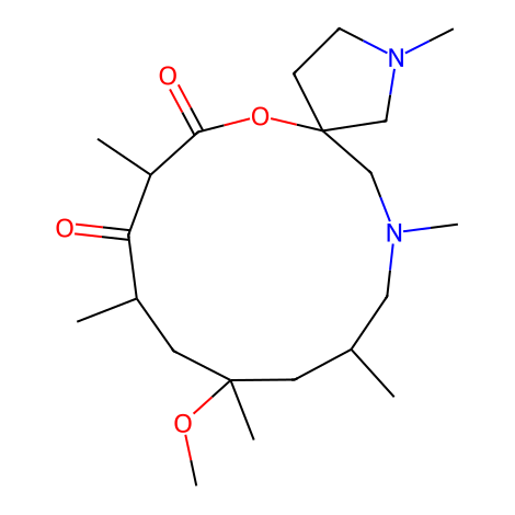 COC1(C)CC(C)CN(C)CC2(CCN(C)C2)OC(=O)C(C)C(=O)C(C)C1